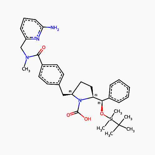 CN(Cc1cccc(N)n1)C(=O)c1ccc(C[C@H]2CC[C@@H]([C@H](O[Si](C)(C)C(C)(C)C)c3ccccc3)N2C(=O)O)cc1